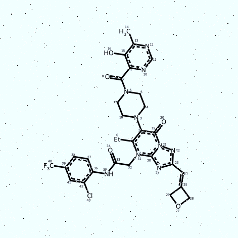 CCc1c(N2CCN(C(=O)c3ncnc(C)c3O)CC2)c(=O)n2nc(C=C3COC3)nc2n1CC(=O)Nc1ccc(C(F)(F)F)cc1Cl